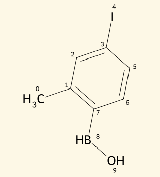 Cc1cc(I)ccc1BO